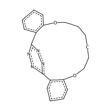 c1ccc2c(c1)OCCCCCCOc1ccccc1-c1nnc-2nn1